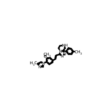 COc1cc(/C=C/C2=NOC3(c4ccc(C)cc4)CNCCN23)ccc1-n1cnc(C)c1